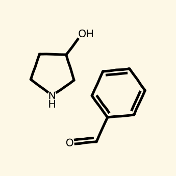 O=Cc1ccccc1.OC1CCNC1